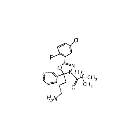 CC(C)(C)C(=O)N1N=C(c2cc(Cl)ccc2F)OC1(CCCN)c1ccccc1